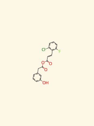 O=C(/C=C/c1c(F)cccc1Cl)OC(=O)Cc1cccc(O)c1